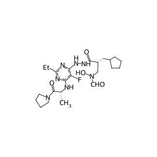 CCc1nc(NNC(=O)[C@H](CC2CCCC2)CN(O)C=O)c(F)c(N[C@H](C)C(=O)N2CCCC2)n1